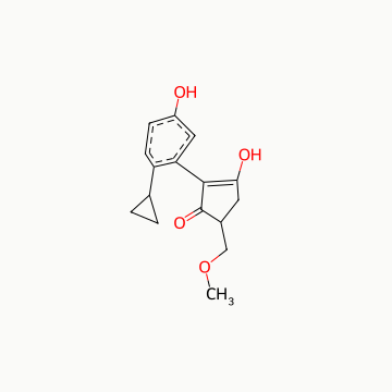 COCC1CC(O)=C(c2cc(O)ccc2C2CC2)C1=O